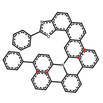 c1ccc(-c2ccc(N(c3ccc4ccc5ccc6nc(-c7ccccc7)oc6c5c4c3)c3c(-c4ccccc4)cccc3-c3ccccc3)cc2)cc1